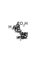 Cc1cc(C(=O)O)cnc1N1C(=O)CCc2cc(OC/C(C(=N)c3c(C)cccc3Cl)=C(/O)C3CC3)ccc21